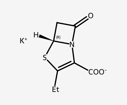 CCC1=C(C(=O)[O-])N2C(=O)C[C@H]2S1.[K+]